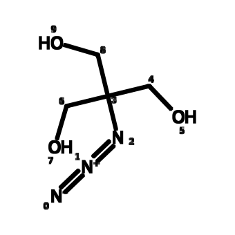 [N-]=[N+]=NC(CO)(CO)CO